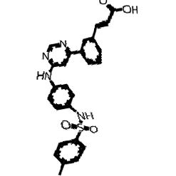 Cc1ccc(S(=O)(=O)Nc2ccc(Nc3cc(-c4cccc(/C=C/C(=O)O)c4)ncn3)cc2)cc1